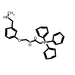 CNCc1cccc(OCNC(=O)C[PH](c2ccccc2)(c2ccccc2)c2ccccc2)c1